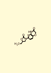 CCC1CN(c2ccc3c(n2)NC(=O)CO3)C(=O)O1